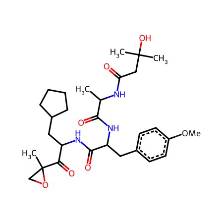 COc1ccc(CC(NC(=O)C(C)NC(=O)CC(C)(C)O)C(=O)NC(CC2CCCC2)C(=O)C2(C)CO2)cc1